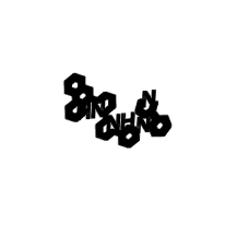 C1=CC(C2C=CC=C(c3cc4ccccc4c4ccccc34)N2)NC(c2cccc(-n3c4ccccc4c4cnccc43)c2)=C1